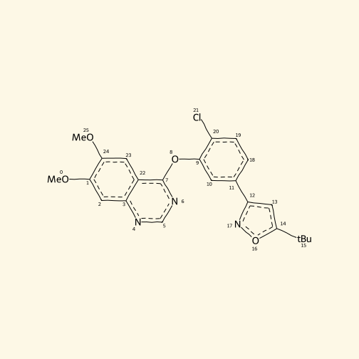 COc1cc2ncnc(Oc3cc(-c4cc(C(C)(C)C)on4)ccc3Cl)c2cc1OC